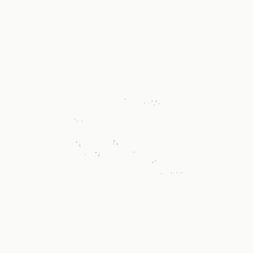 COc1ccc(-c2c(-c3ccccc3Cl)oc3ncnc(NCCCCCC(=O)O)c23)cc1